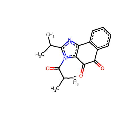 CC(C)C(=O)n1c(C(C)C)nc2c1C(=O)C(=O)c1ccccc1-2